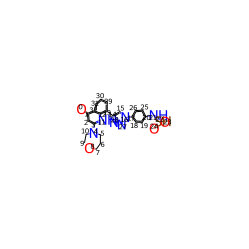 O=c1cc(N2CCCOCC2)[nH]c2c(-c3cn(-c4ccc(N[SH](=O)=O)cc4)nn3)cccc12